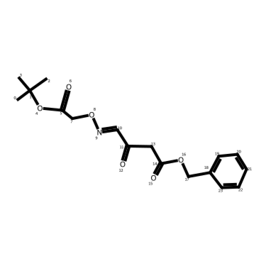 CC(C)(C)OC(=O)CON=CC(=O)CC(=O)OCc1ccccc1